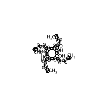 COc1cc(O)c2cc1C(c1ccc(C(=O)OCC(=O)OC34CC5CC(CC(C)(C5)C3)C4)cc1)c1cc(c(OC)cc1O)C(c1ccc(C(=O)OCC(=O)OC34CC5CC(CC(C)(C5)C3)C4)cc1)c1cc(c(CO)cc1O)C(c1ccc(C(=O)OCC(=O)OC34CC5CC(CC(C)(C5)C3)C4)cc1)c1cc(c(CO)cc1O)C2c1ccc(C(=O)OCC(=O)OC23CC4CC(CC(C)(C4)C2)C3)cc1